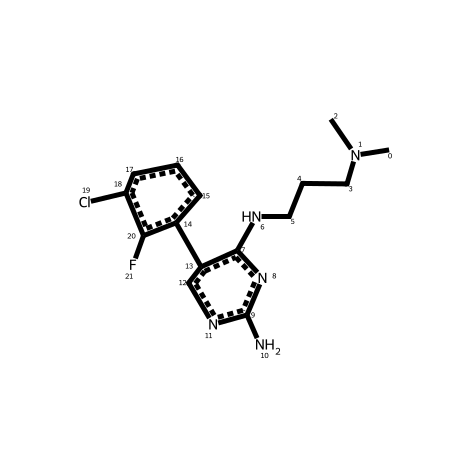 CN(C)CCCNc1nc(N)ncc1-c1cccc(Cl)c1F